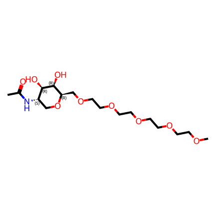 COCCOCCOCCOCCOC[C@H]1OC[C@H](NC(C)=O)[C@@H](O)[C@H]1O